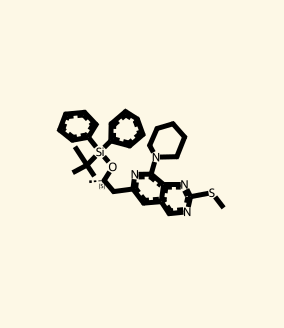 CSc1ncc2cc(C[C@H](C)O[Si](c3ccccc3)(c3ccccc3)C(C)(C)C)nc(N3CCCCC3)c2n1